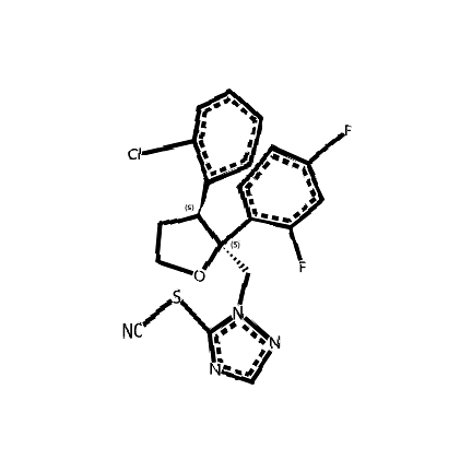 N#CSc1ncnn1C[C@]1(c2ccc(F)cc2F)OCC[C@H]1c1ccccc1Cl